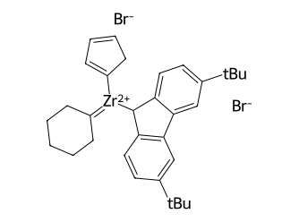 CC(C)(C)c1ccc2c(c1)-c1cc(C(C)(C)C)ccc1[CH]2[Zr+2]([C]1=CC=CC1)=[C]1CCCCC1.[Br-].[Br-]